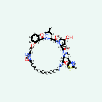 CC(C)C[C@H]1NC(=O)c2ccccc2OCc2noc(n2)CCCCCCCCNC(=O)[C@H](Cc2cscn2)N(C)C(=O)[C@H]2C[C@H](O)CN2C1=O